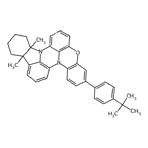 CC(C)(C)c1ccc(-c2ccc3c(c2)Oc2cccc4c2N3c2cccc3c2N4C2(C)CCCCC32C)cc1